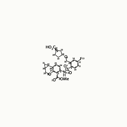 COC(=O)c1c(NS(=O)(=O)c2ccc(F)cc2CO[C@@H]2CCN(C(=O)O)C2)ccc2c1OCC1CC21